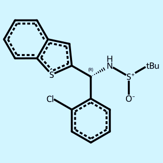 CC(C)(C)[S+]([O-])N[C@@H](c1cc2ccccc2s1)c1ccccc1Cl